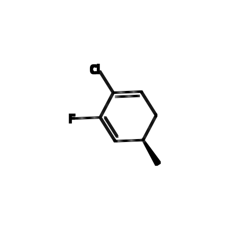 C[C@H]1C=C(F)C(Cl)=CC1